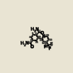 NC(=O)c1ccc(C(N)=O)c(-c2cc(C(F)(F)F)ccn2)c1